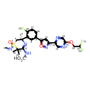 CN=[S@@]1(=O)C[C@@](C)(c2cc(-c3cc(-c4cnc(OCC(F)F)cn4)no3)ccc2F)N=C(NC(=O)O)C1(C)C